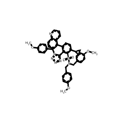 COc1ccc(CN(Cc2ccc(OC)cc2)S(=O)(=O)c2c(C3CC3)ccc(-c3cccc4ncccc34)c2-c2nnnn2Cc2ccc(OC)cc2)cc1